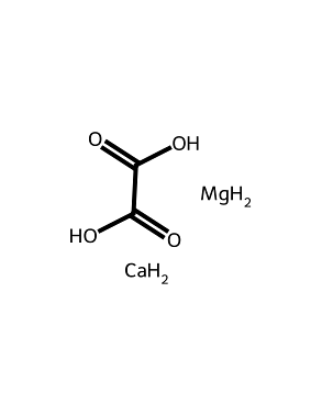 O=C(O)C(=O)O.[CaH2].[MgH2]